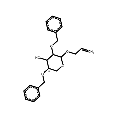 C=CCOC1OC[C@@H](OCc2ccccc2)C(O)C1OCc1ccccc1